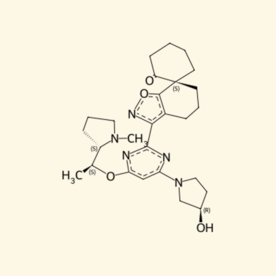 C[C@H](Oc1cc(N2CC[C@@H](O)C2)nc(-c2noc3c2CCC[C@@]32CCCCC2=O)n1)[C@@H]1CCCN1C